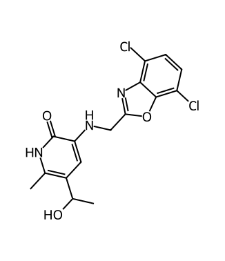 Cc1[nH]c(=O)c(NCc2nc3c(Cl)ccc(Cl)c3o2)cc1C(C)O